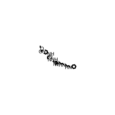 CCOC(=O)N1CCC(Nc2ccnc(NCc3cn(CCCNCCCNC4CCCCC4)nn3)n2)CC1